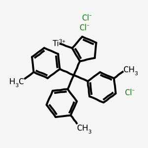 Cc1cccc(C(C2=[C]([Ti+3])C=CC2)(c2cccc(C)c2)c2cccc(C)c2)c1.[Cl-].[Cl-].[Cl-]